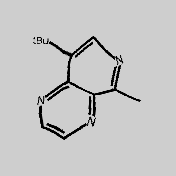 Cc1ncc(C(C)(C)C)c2nccnc12